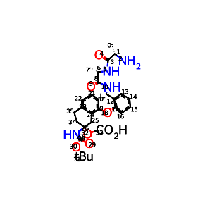 C[C@H](N)C(=O)N[C@@H](C)C(=O)NCc1ccccc1Oc1cccc2c1C[C@](NC(=O)OC(C)(C)C)(OC(=O)O)CC2